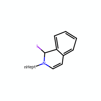 CCCCCCCN1C=Cc2ccccc2C1I